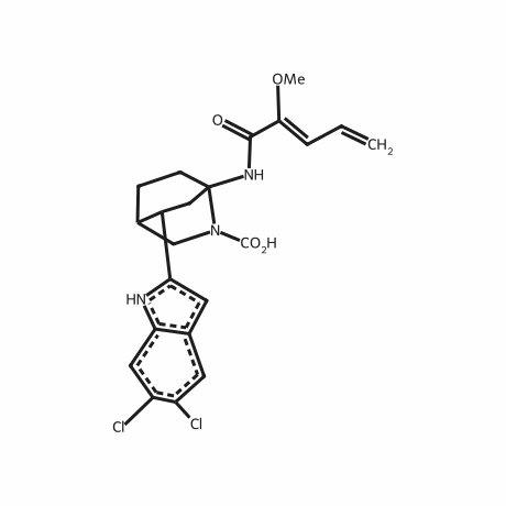 C=CC=C(OC)C(=O)NC12CCC(CN1C(=O)O)C(c1cc3cc(Cl)c(Cl)cc3[nH]1)C2